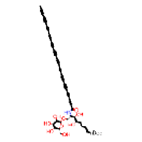 CC#CC#CC#CC#CC#CC#CC#CC#CC#CC#CC#CC#CC(=O)N[C@@H](CO[C@H]1O[C@H](CO)[C@H](O)[C@H](O)[C@H]1O)[C@H](O)[C@H](O)CCCCCCCCCCCCCC